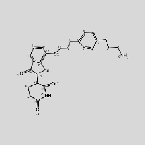 NCCCc1ccc(CCCSc2cccc3c2CN(C2CCC(=O)NC2=O)C3=O)cc1